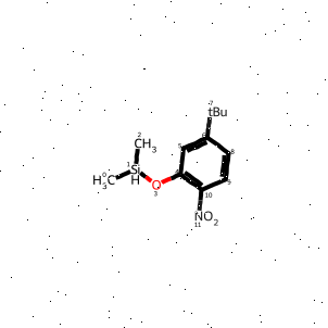 C[SiH](C)Oc1cc(C(C)(C)C)ccc1[N+](=O)[O-]